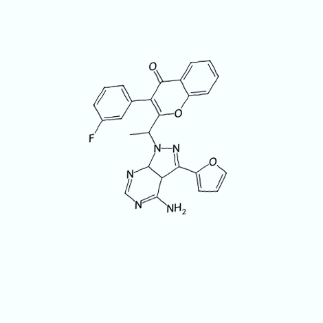 CC(c1oc2ccccc2c(=O)c1-c1cccc(F)c1)N1N=C(c2ccco2)C2C(N)=NC=NC21